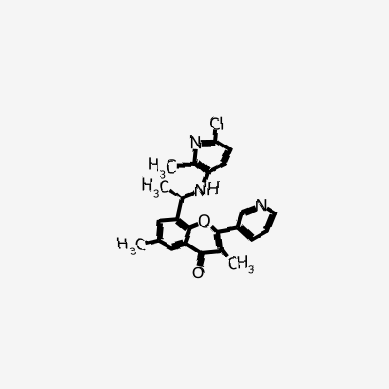 Cc1cc([C@@H](C)Nc2ccc(Cl)nc2C)c2oc(-c3cccnc3)c(C)c(=O)c2c1